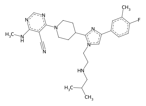 CNc1ncnc(N2CCC(c3nc(-c4ccc(F)c(C)c4)cn3CCNCC(C)C)CC2)c1C#N